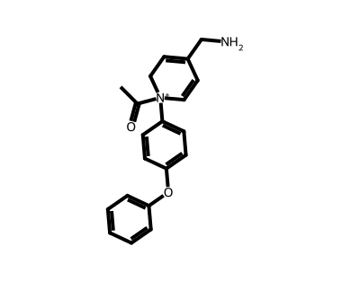 CC(=O)[N+]1(c2ccc(Oc3ccccc3)cc2)C=CC(CN)=CC1